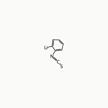 [Li][c]1ccccc1N=C=S